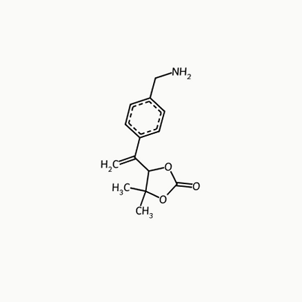 C=C(c1ccc(CN)cc1)C1OC(=O)OC1(C)C